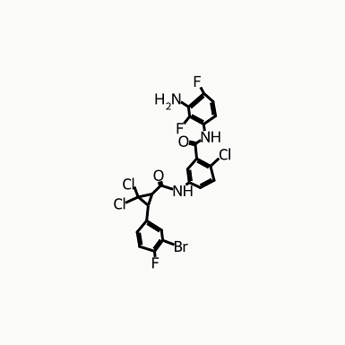 Nc1c(F)ccc(NC(=O)c2cc(NC(=O)C3C(c4ccc(F)c(Br)c4)C3(Cl)Cl)ccc2Cl)c1F